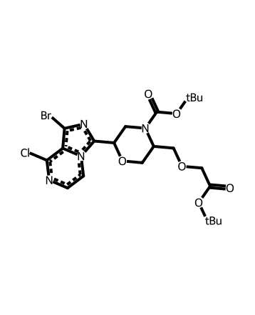 CC(C)(C)OC(=O)COCC1COC(c2nc(Br)c3c(Cl)nccn23)CN1C(=O)OC(C)(C)C